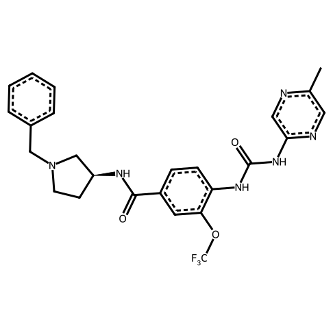 Cc1cnc(NC(=O)Nc2ccc(C(=O)N[C@H]3CCN(Cc4ccccc4)C3)cc2OC(F)(F)F)cn1